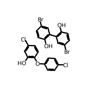 Oc1cc(Cl)ccc1Oc1ccc(Cl)cc1.Oc1ccc(Br)cc1-c1cc(Br)ccc1O